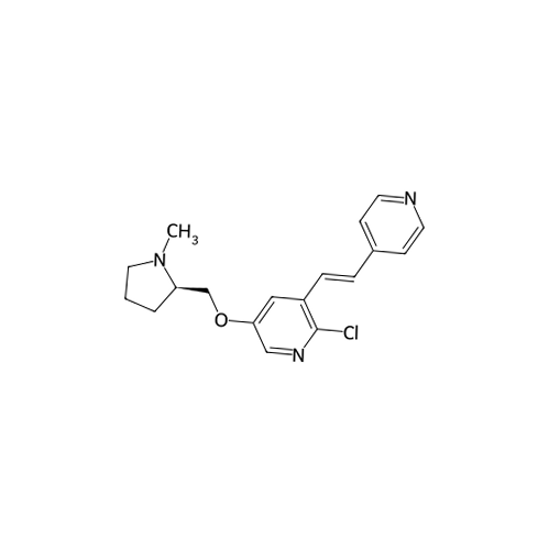 CN1CCC[C@@H]1COc1cnc(Cl)c(/C=C/c2ccncc2)c1